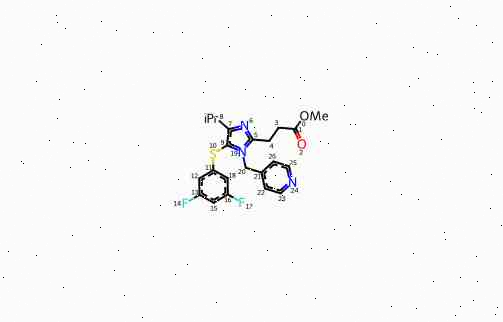 COC(=O)CCc1nc(C(C)C)c(Sc2cc(F)cc(F)c2)n1Cc1ccncc1